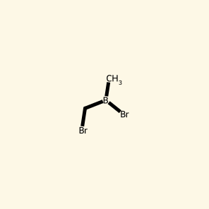 CB(Br)CBr